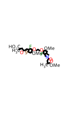 COC(=O)[C@@H](C)CC(=O)N1Cc2cc(OC)c(OCCCOc3c(OC)cc4sc(C(=O)C[C@H](C)C(=O)O)cc4c3F)c(F)c2C1